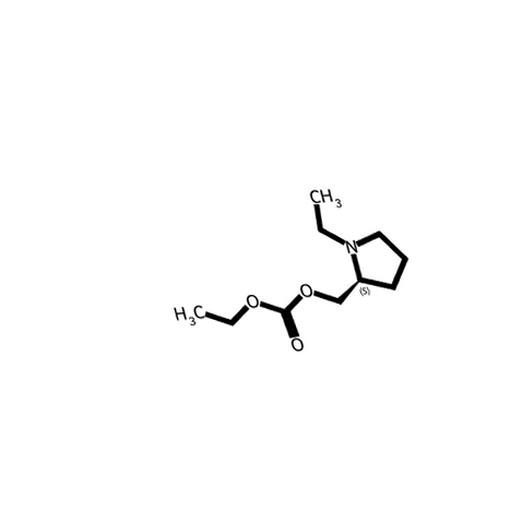 CCOC(=O)OC[C@@H]1CCCN1CC